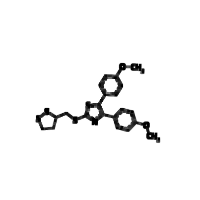 COc1ccc(-c2nc(SCC3CCSS3)sc2-c2ccc(OC)cc2)cc1